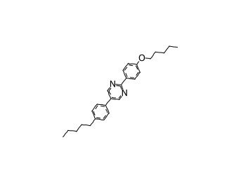 CCCCCOc1ccc(-c2ncc(-c3ccc(CCCCC)cc3)cn2)cc1